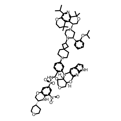 CC(C)Oc1ccccc1[C@@H]1CN([C@@H]2COC(C)(C)c3nc(C(C)C)c4c(c32)C(C)(C)CCO4)CCN1C1CC2(CCN(c3ccc(C(=O)NS(=O)(=O)c4cc5c(c([N+](=O)[O-])c4)N[C@H](C4CCOCC4)CO5)c(N4c5cc6cc[nH]c6nc5O[C@H]5COCC[C@@H]54)c3)CC2)C1